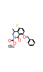 CC1CN(C(=O)OC(C)(C)C)C(=O)c2c(OCc3ccccc3)ccc(F)c21